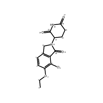 CCOc1ccc2c(c1Cl)C(=O)N(C1CCC(=O)NC1=O)C2